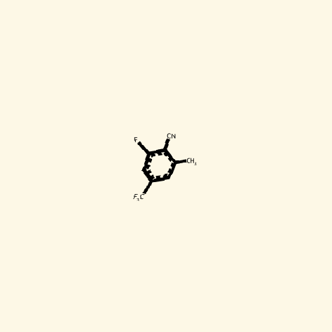 Cc1cc(C(F)(F)F)cc(F)c1C#N